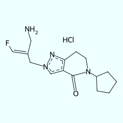 Cl.NC/C(=C\F)Cn1cc2c(n1)CCN(C1CCCC1)C2=O